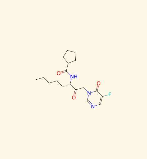 CCCCC[C@H](NC(=O)C1CCCC1)C(=O)Cn1cncc(F)c1=O